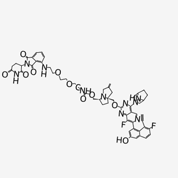 C#Cc1c(F)ccc2cc(O)cc(-c3ncc4c(N5CC6CCC(C5)N6)nc(OC[C@@]56CC[C@@H](COC(=O)NCCOCCOCCNc7cccc8c7C(=O)N(C7CCC(=O)NC7=O)C8=O)N5CC(=C)C6)nc4c3F)c12